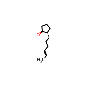 C/C=C/CCC[C@H]1CCCC1=O